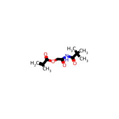 C=C(C)C(=O)OCC(=O)NC(=O)C(C)(C)C